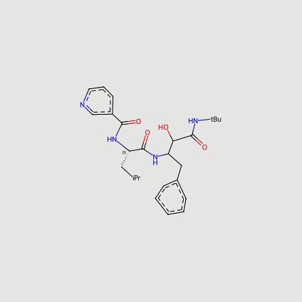 CC(C)C[C@H](NC(=O)c1cccnc1)C(=O)NC(Cc1ccccc1)C(O)C(=O)NC(C)(C)C